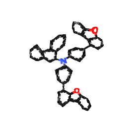 c1ccc2c(c1)cc(N(c1ccc(-c3cccc4c3oc3ccccc34)cc1)c1ccc(-c3cccc4oc5ccccc5c34)cc1)c1ccccc12